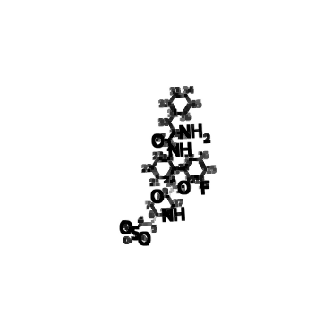 CS(=O)(=O)CC[C@@H]1CO[C@H](COc2c(F)cccc2-c2ccccc2NC(=O)[C@@H](N)Cc2ccccc2)CN1